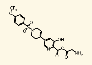 NCC(=O)OC(=O)c1ncc(C2=CCN(S(=O)(=O)c3ccc(OC(F)(F)F)cc3)CC2)cc1O